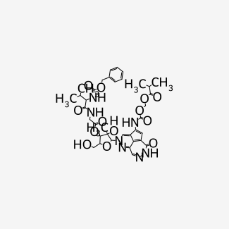 CC(C)C(=O)OCOC(=O)Nc1cc2c(=O)[nH]ncc3nn(C4OC(CO)C(OC(=O)CNC(=O)C(NC(=O)OCc5ccccc5)C(C)C)C4(C)O)cc1c32